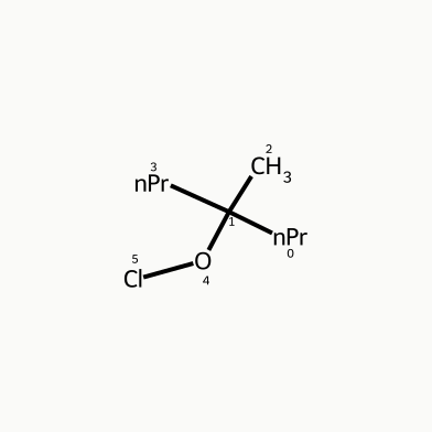 CCCC(C)(CCC)OCl